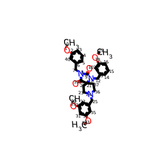 COc1cccc(CN2C(=O)N(Cc3cccc(OC)c3)C3(CCN(Cc4cc(OC)cc(OC)c4)CC3)C2=O)c1